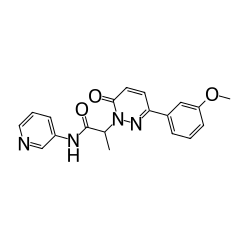 COc1cccc(-c2ccc(=O)n(C(C)C(=O)Nc3cccnc3)n2)c1